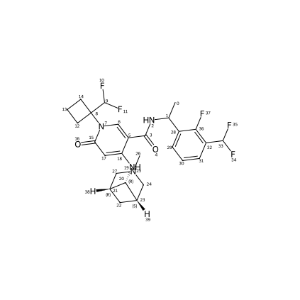 CC(NC(=O)c1cn(C2(C(F)F)CCC2)c(=O)cc1N[C@H]1[C@@H]2C[C@H]1CN(C)C2)c1cccc(C(F)F)c1F